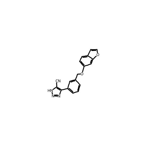 N#Cc1[nH]nnc1-c1cccc(COc2ccc3ccoc3c2)c1